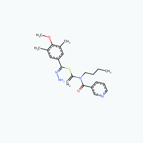 C=C(S/C(=N\N)c1cc(C)c(OC)c(C)c1)N(CCCC)C(=O)c1cccnc1